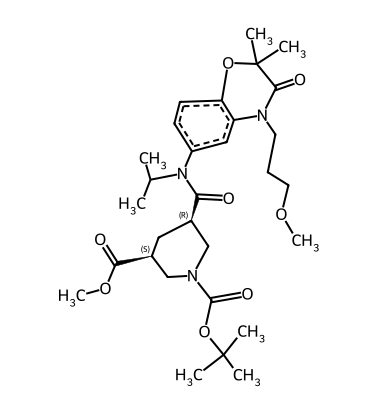 COCCCN1C(=O)C(C)(C)Oc2ccc(N(C(=O)[C@@H]3C[C@H](C(=O)OC)CN(C(=O)OC(C)(C)C)C3)C(C)C)cc21